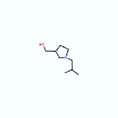 CC(C)CN1CC[C](CO)C1